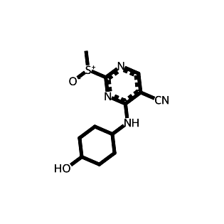 C[S+]([O-])c1ncc(C#N)c(NC2CCC(O)CC2)n1